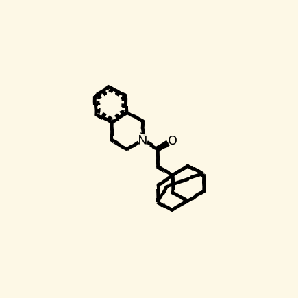 O=C(CC12CC3CC(CC(C3)C1)C2)N1CCc2ccccc2C1